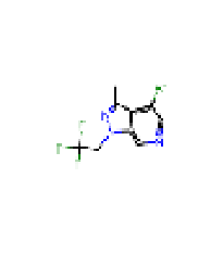 Cc1nn(CC(F)(F)F)c2cncc(Br)c12